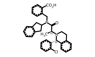 C[C@@H](C(=O)N(Cc1ccccc1C(=O)O)C1Cc2ccccc2C1)N1CCc2ccccc2[C@@H]1c1ccccc1Cl